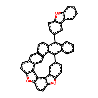 c1ccc2c(c1)ccc1oc3ccc4oc5ccc(-c6c7ccccc7c(-c7ccc8oc9ccccc9c8c7)c7ccccc67)cc5c4c3c12